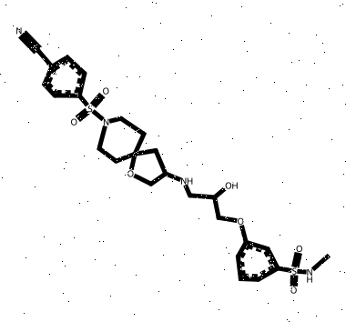 CNS(=O)(=O)c1cccc(OCC(O)CNC2COC3(CCN(S(=O)(=O)c4ccc(C#N)cc4)CC3)C2)c1